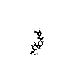 C=C[C@@H](O)C1CN(C)C(=O)c2c3c(nn2C1)C[C@@H](C)N(C(=O)Nc1ccc(F)c(Br)c1)C3